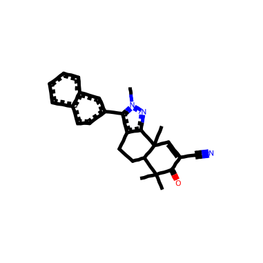 Cn1nc2c(c1-c1ccc3ccccc3c1)CCC1C(C)(C)C(=O)C(C#N)=CC21C